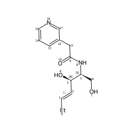 CC/C=C/[C@@H](O)[C@H](CO)NC(=O)Cc1cccnc1